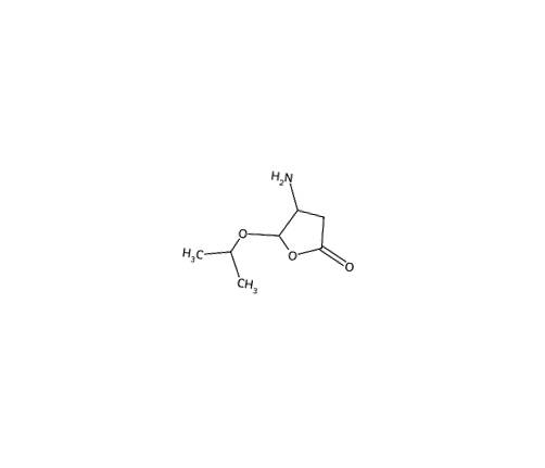 CC(C)OC1OC(=O)CC1N